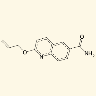 C=CCOc1ccc2cc(C(N)=O)ccc2n1